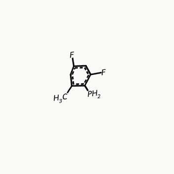 Cc1cc(F)cc(F)c1P